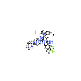 CN(C)c1cc(Nc2cccc(C(F)(F)F)c2)nc(N2CCN(c3ccccn3)CC2)n1